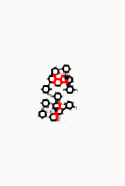 CC(C)(C)c1ccc(N2c3cc([Si](c4ccccc4)(c4ccccc4)c4ccccc4)ccc3B3c4c(-c5ccccc5)cccc4N(c4cccc([Si](c5ccccc5)(c5ccccc5)c5ccccc5)c4)c4cc(-n5c6ccc(C(C)(C)C)cc6c6cc(C(C)(C)C)ccc65)cc2c43)c(-c2ccccc2)c1